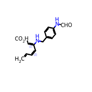 C=C/C=C\C(=C\C(=O)O)NCc1ccc(NC=O)cc1